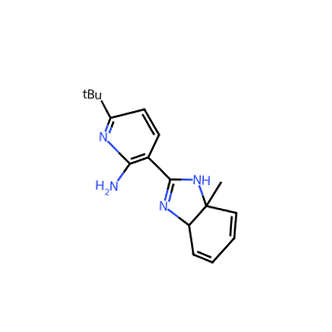 CC(C)(C)c1ccc(C2=NC3C=CC=CC3(C)N2)c(N)n1